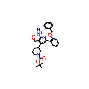 CC(C)(C)OC(=O)N1CCCC(c2cc(-c3ccccc3OCc3ccccc3)nc(N)c2C=O)C1